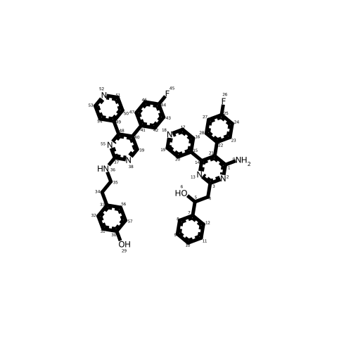 Nc1nc(CC(O)c2ccccc2)nc(-c2ccncc2)c1-c1ccc(F)cc1.Oc1ccc(CCNc2ncc(-c3ccc(F)cc3)c(-c3ccncc3)n2)cc1